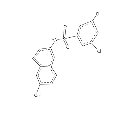 O=S(=O)(Nc1ccc2cc(O)ccc2c1)c1cc(Cl)cc(Cl)c1